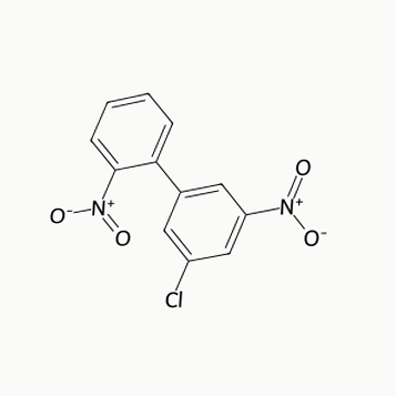 O=[N+]([O-])c1cc(Cl)cc(-c2ccccc2[N+](=O)[O-])c1